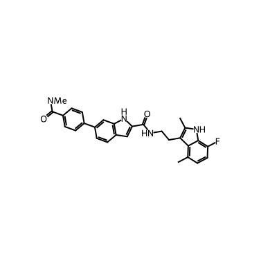 CNC(=O)c1ccc(-c2ccc3cc(C(=O)NCCc4c(C)[nH]c5c(F)ccc(C)c45)[nH]c3c2)cc1